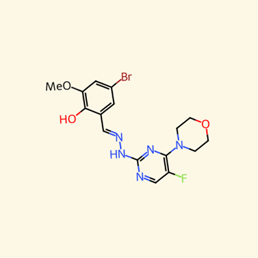 COc1cc(Br)cc(/C=N/Nc2ncc(F)c(N3CCOCC3)n2)c1O